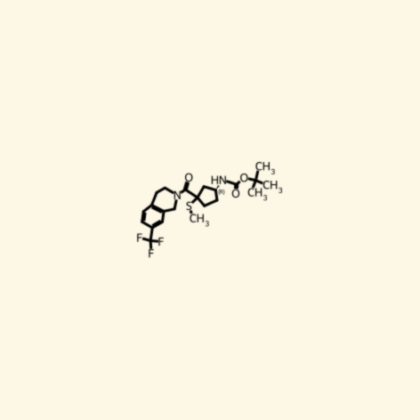 CSC1(C(=O)N2CCc3ccc(C(F)(F)F)cc3C2)CC[C@@H](NC(=O)OC(C)(C)C)C1